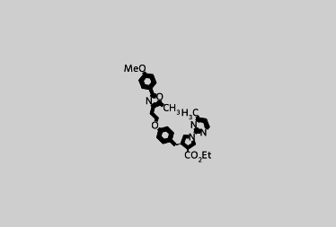 CCOC(=O)[C@H]1CN(c2nccc(C)n2)C[C@H]1Cc1ccc(OCCc2nc(-c3ccc(OC)cc3)oc2C)cc1